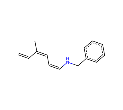 C=C/C(C)=C\C=C/NCc1ccccc1